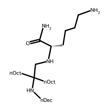 CCCCCCCCCCNC(CCCCCCCC)(CCCCCCCC)CN[C@@H](CCCCN)C(N)=O